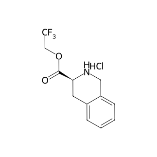 Cl.O=C(OCC(F)(F)F)[C@@H]1Cc2ccccc2CN1